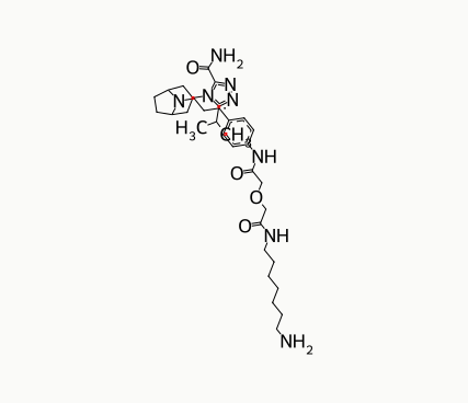 CC(C)c1nnc(C(N)=O)n1C1CC2CCC(C1)N2CC[CH]c1ccc(NC(=O)COCC(=O)NCCCCCCCN)cc1